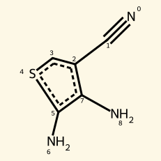 N#Cc1csc(N)c1N